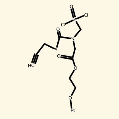 C#CCSC(=O)N(CC(=O)OCCOCC)CP(=O)(Cl)Cl